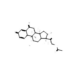 CC(=O)OCC(=O)[C@@]1(O)[C@H](C)C[C@H]2[C@@H]3CC(=O)C4=CC(=O)C=C[C@]4(C)[C@@]3(F)[C@@H](O)C[C@@]21C